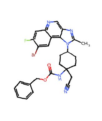 Cc1nc2cnc3cc(F)c(Br)cc3c2n1C1CCC(CC#N)(NC(=O)OCc2ccccc2)CC1